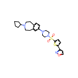 O=S(=O)(c1ccc(-c2ccon2)s1)N1CCN(c2ccc3c(c2)CCN(C2CCCC2)CC3)CC1